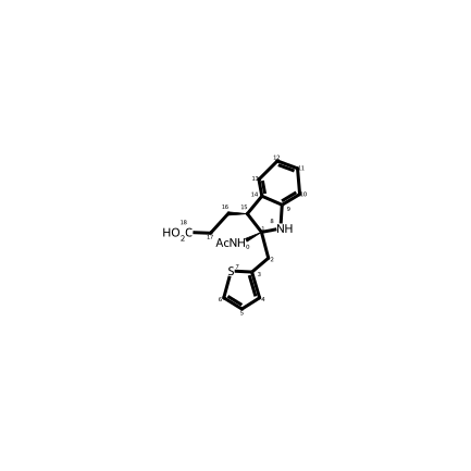 CC(=O)N[C@]1(Cc2cccs2)Nc2ccccc2[C@@H]1CCC(=O)O